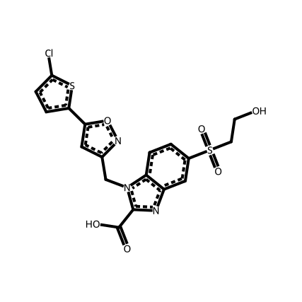 O=C(O)c1nc2cc(S(=O)(=O)CCO)ccc2n1Cc1cc(-c2ccc(Cl)s2)on1